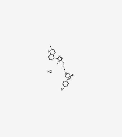 Cc1ccc2c(-c3nnc(SCCCN4C[C@@H]5C[C@]5(c5ccc(Br)cc5)C4)n3C)cccc2n1.Cl